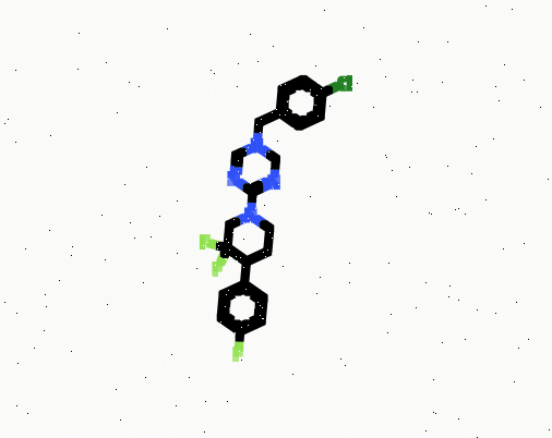 Fc1ccc(C2CCN(C3=NCN(Cc4ccc(Cl)cc4)C=N3)CC2(F)F)cc1